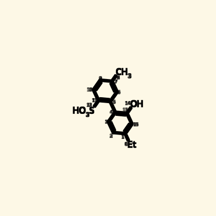 CCc1ccc(-c2cc(C)ccc2S(=O)(=O)O)c(O)c1